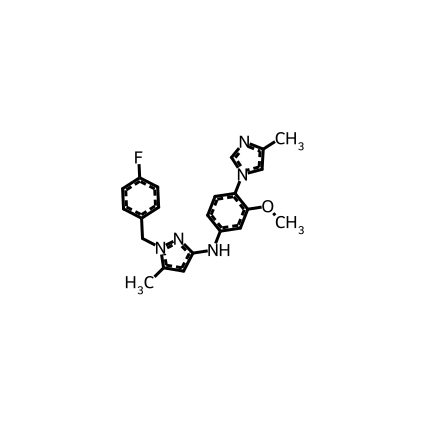 COc1cc(Nc2cc(C)n(Cc3ccc(F)cc3)n2)ccc1-n1cnc(C)c1